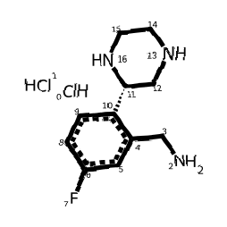 Cl.Cl.NCc1cc(F)ccc1[C@H]1CNCCN1